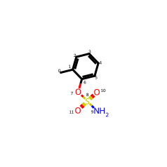 Cc1ccccc1OS(N)(=O)=O